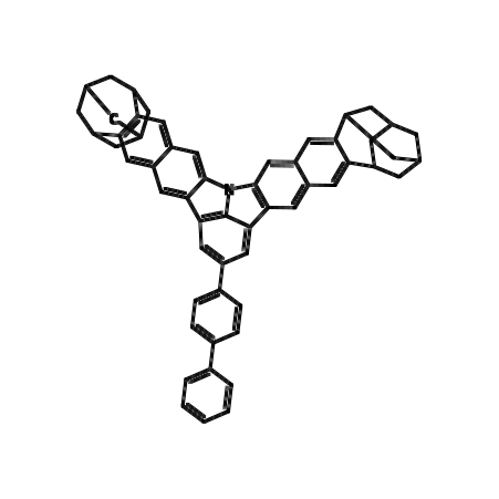 c1ccc(-c2ccc(-c3cc4c5cc6cc7c(cc6cc5n5c6cc8cc9c(cc8cc6c(c3)c45)C3CC4CC(C3)CC9C4)C3CC4CC(CC7C4)C3)cc2)cc1